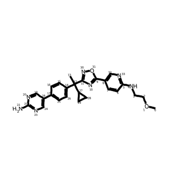 COCCNc1ccc(-c2nc(C(C)(c3ccc(-c4cnc(N)nc4)cc3)C3CC3)no2)cn1